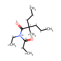 CCCC(C)(CCC)C(=O)N(CC)C(=O)CC